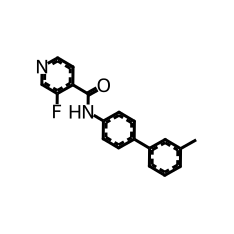 Cc1cccc(-c2ccc(NC(=O)c3ccncc3F)cc2)c1